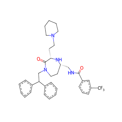 O=C(NC[C@@H]1CCN(CC(c2ccccc2)c2ccccc2)C(=O)[C@H](CCN2CCCCC2)N1)c1cccc(C(F)(F)F)c1